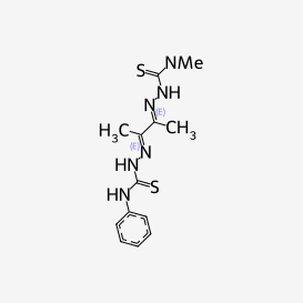 CNC(=S)N/N=C(C)/C(C)=N/NC(=S)Nc1ccccc1